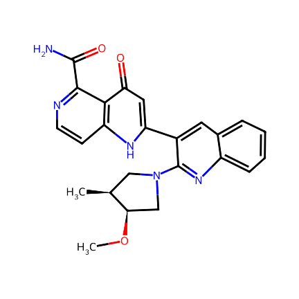 CO[C@@H]1CN(c2nc3ccccc3cc2-c2cc(=O)c3c(C(N)=O)nccc3[nH]2)C[C@@H]1C